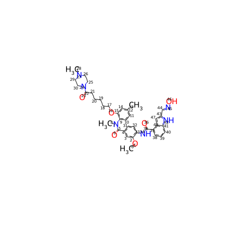 COc1cc(C(=O)N(C)c2ccc(C)cc2OCCCCCC(=O)N2CCN(C)CC2)ccc1NC(=O)c1cccc2[nH]c(C=NO)cc12